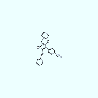 O=C1C(C#Cc2ccccc2)=C(c2ccc(C(F)(F)F)cc2)C(=O)N1Cc1ccccc1